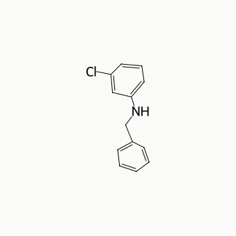 Clc1cccc(NCc2ccccc2)c1